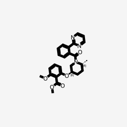 COC(=O)c1c(OC)cccc1O[C@@H]1CC[C@@H](C)N(C(=O)c2ccccc2-c2ncccn2)C1